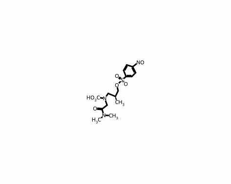 C[C@H](COS(=O)(=O)c1ccc(N=O)cc1)CN(CC(=O)N(C)C)C(=O)O